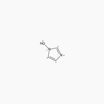 On1[c]cnc1